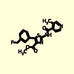 COC(=O)c1nc(NC(=O)c2ccncc2C)sc1-c1cccc(CF)c1